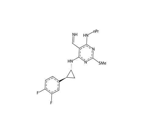 CCCNc1nc(SC)nc(N[C@@H]2C[C@H]2c2ccc(F)c(F)c2)c1C=N